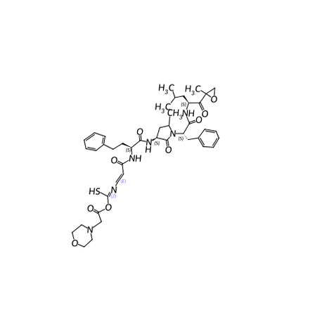 CC(C)C[C@H](NC(=O)[C@H](Cc1ccccc1)N1C(=O)[C@@H](NC(=O)[C@H](CCc2ccccc2)NC(=O)/C=C/N=C(\S)OC(=O)CN2CCOCC2)CC1C)C(=O)C1(C)CO1